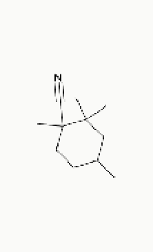 CC1CCC(C)(C#N)C(C)(C)C1